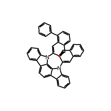 c1ccc(-c2cccc3ccc(-n4c5ccccc5c5ccc6c7ccccc7n(-c7ccc8ccccc8c7)c6c54)cc23)cc1